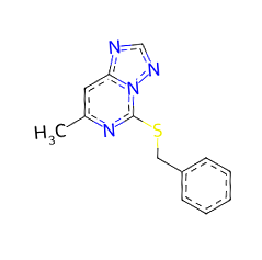 Cc1cc2ncnn2c(SCc2ccccc2)n1